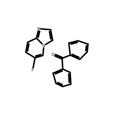 Fc1ccc2nccn2c1.O=C(c1ccccc1)c1ccccc1